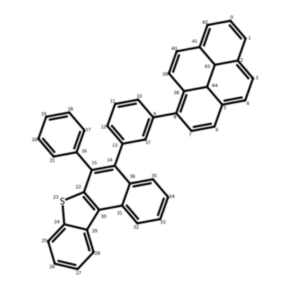 C1=CC2=CC=C3C=CC(c4cccc(-c5c(-c6ccccc6)c6sc7ccccc7c6c6ccccc56)c4)=C4C=CC(=C1)C2C34